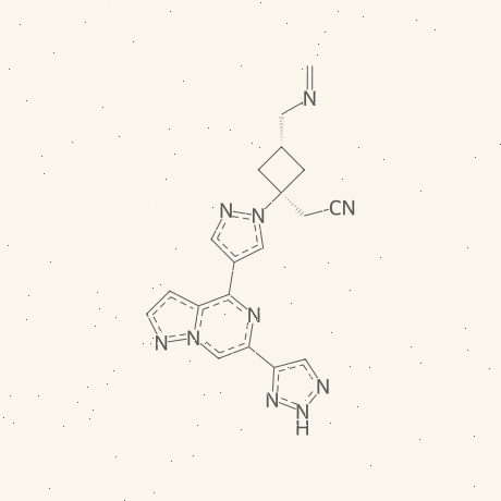 C=NC[C@H]1C[C@](CC#N)(n2cc(-c3nc(-c4cn[nH]n4)cn4nccc34)cn2)C1